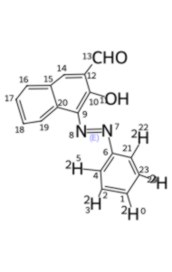 [2H]c1c([2H])c([2H])c(/N=N/c2c(O)c(C=O)cc3ccccc23)c([2H])c1[2H]